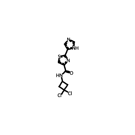 O=C(NC1CC(Cl)(Cl)C1)c1csc(-c2cnc[nH]2)n1